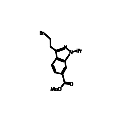 COC(=O)c1ccc2c(CCBr)nn(C(C)C)c2c1